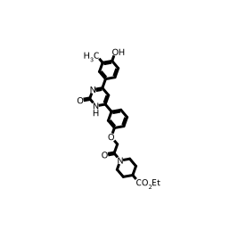 CCOC(=O)C1CCN(C(=O)COc2cccc(-c3cc(-c4ccc(O)c(C)c4)nc(=O)[nH]3)c2)CC1